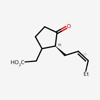 CC/C=C\C[C@@H]1C(=O)CCC1CC(=O)O